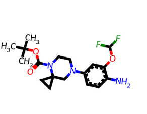 CC(C)(C)OC(=O)N1CCN(c2ccc(N)c(OC(F)F)c2)CC12CC2